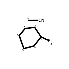 CC#N.CCC1CCCCC1